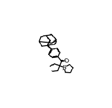 CCC(CC)(B1CCCC1)C(=O)c1ccc(C23CC4CC(CC(C4)C2)C3)cc1